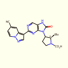 CC(C)(C)[C@@H]1C(n2c(=O)[nH]c3cnc(-c4cnn5ccc(C#N)cc45)nc32)CCN1C(=O)O